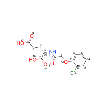 O=C(O)CC[C@H](NC(=O)COc1ccccc1Cl)C(=O)O